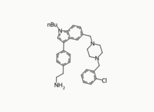 CCCCn1cc(-c2ccc(CCN)cc2)c2cc(CN3CCN(Cc4ccccc4Cl)CC3)ccc21